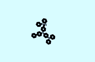 c1ccc(-c2ccc(N(c3ccc(-c4nc5ccccc5n4-c4ccccc4)cc3)c3ccc(N(c4ccccc4)c4ccccc4)cc3)cc2)cc1